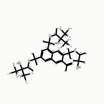 C=C(C)c1cc2cc(C(C)(C)OC(C)C(O)(C(F)(F)F)C(F)(F)F)cc(C(C)(C)OC(C)C(O)(C(F)(F)F)C(F)(F)F)c2cc1C(C)(C)OC(C)C(C)(C)O